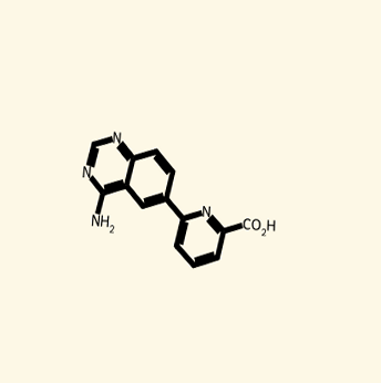 Nc1ncnc2ccc(-c3cccc(C(=O)O)n3)cc12